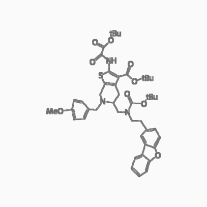 COc1ccc(CN2Cc3sc(NC(=O)C(=O)OC(C)(C)C)c(C(=O)OC(C)(C)C)c3CC2CN(CCc2ccc3oc4ccccc4c3c2)C(=O)OC(C)(C)C)cc1